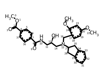 COC(=O)c1ccc(C(=O)NC[C@@H](O)CN(Cc2ccc(OC)cc2OC)C2Cc3ccccc3C2)cc1